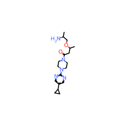 CC(N)COC(C)CC(=O)N1CCN(c2ncc(C3CC3)cn2)CC1